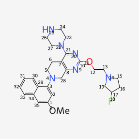 COc1cc(N2CCc3c(nc(OCCN4CCC(F)C4)nc3N3CCNCC3)C2)c2ccccc2c1